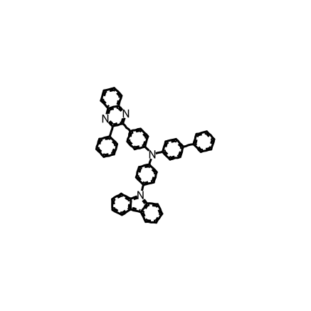 c1ccc(-c2ccc(N(c3ccc(-c4nc5ccccc5nc4-c4ccccc4)cc3)c3ccc(-n4c5ccccc5c5ccccc54)cc3)cc2)cc1